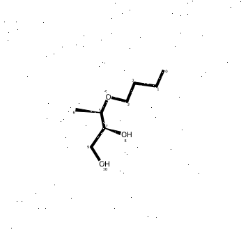 CCCCO[C@H](C)[C@@H](O)CO